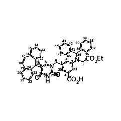 CCOC(=O)CN(c1cc(Cn2cc(C3c4ccccc4C=Cc4ccccc43)c(=O)[nH]c2=O)cc(C(=O)O)c1)C(c1ccccc1)c1ccccc1